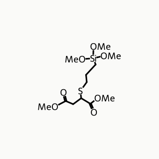 COC(=O)CC(SCCC[Si](OC)(OC)OC)C(=O)OC